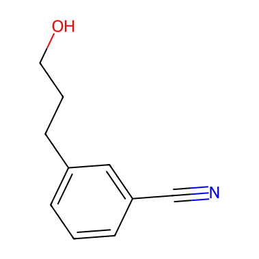 N#Cc1cccc(CCCO)c1